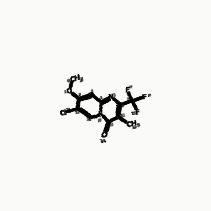 COc1cc2nc(C(F)(F)F)c(C)c(=O)n2cc1Cl